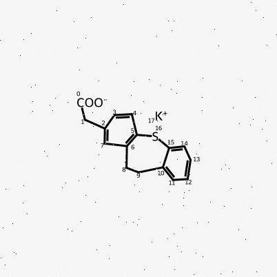 O=C([O-])Cc1ccc2c(c1)CCc1ccccc1S2.[K+]